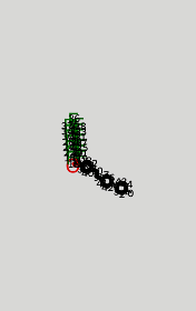 C[C@H]1CC[C@H](C2CCC(CCc3ccc(C(=O)C(F)(F)C(F)(F)C(F)(F)C(F)(F)C(F)(F)C(F)(F)C(F)(F)F)cc3)CC2)CC1